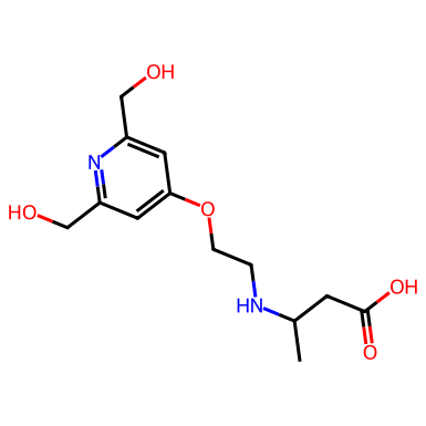 CC(CC(=O)O)NCCOc1cc(CO)nc(CO)c1